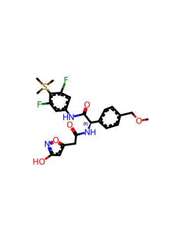 COCc1ccc([C@@H](NC(=O)Cc2cc(O)no2)C(=O)Nc2cc(F)c(S(C)(C)C)c(F)c2)cc1